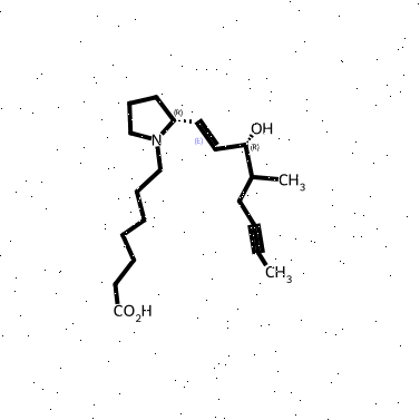 CC#CCC(C)[C@@H](O)/C=C/[C@H]1CCCN1CCCCCCC(=O)O